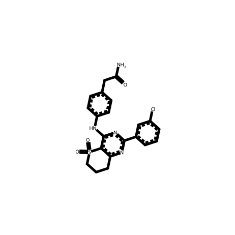 NC(=O)Cc1ccc(Nc2nc(-c3cccc(Cl)c3)nc3c2S(=O)(=O)CCC3)cc1